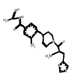 N=C(N)NC(=O)c1ccc(C2CCN(C(=O)C(N)Cc3cscn3)CC2)c(C(F)(F)F)c1